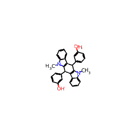 Cn1c2c(c3ccccc31)C(c1cccc(O)c1)c1c(c3ccccc3n1C)C2c1cccc(O)c1